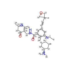 CCN(c1cc(C#CC2(C)COC2)cc(C(=O)NCC2=C(C)N=C(C)CC2=O)c1C)[C@H]1CC[C@H](N(C)C)CC1